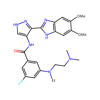 CCN(CCN(C)C)c1cc(F)cc(C(=O)Nc2c[nH]nc2-c2nc3cc(OC)c(OC)cc3[nH]2)c1